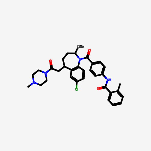 COC1CCC(CC(=O)N2CCN(C)CC2)c2cc(Cl)ccc2N1C(=O)c1ccc(NC(=O)c2ccccc2C)cc1